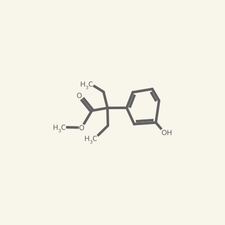 CCC(CC)(C(=O)OC)c1cccc(O)c1